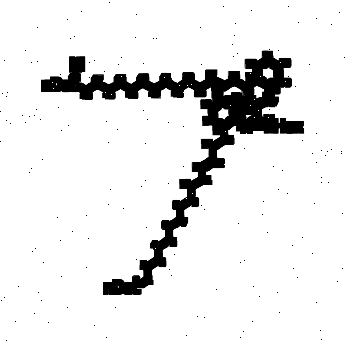 CCCCCCCCCCCCCCCCCCCCC/C=C/CCc1ccccc1/N=C(CCCCCC)\C(CCCC)=N\c1ccccc1CC/C=C/CCCCCCCCCCCCCCCCCCCCC.[Ni]